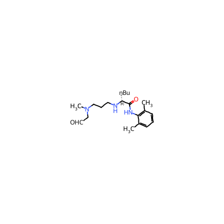 CCCC[C@@H](NCCCN(C)CC=O)C(=O)Nc1c(C)cccc1C